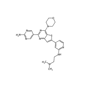 CN(C)CCNc1cc(-c2cc3nc(-c4cnc(N)nc4)nc(N4CCOCC4)c3s2)ccn1